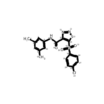 Cc1cc(C)cc(NC(=O)c2nnsc2S(=O)(=O)c2ccc(Cl)cc2)c1